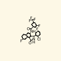 O=C(Nc1cc2ccc(F)cc2c2c1C(c1cc(F)ccc1Cl)NC2=O)c1cc(F)cc(C(F)(F)F)c1